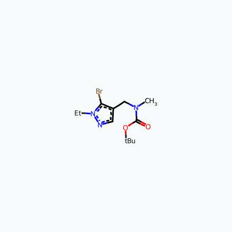 CCn1ncc(CN(C)C(=O)OC(C)(C)C)c1Br